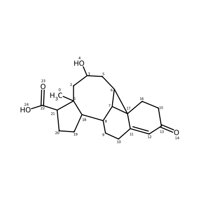 CC12CC(O)CC3C4C(CCC5=CC(=O)CCC534)C1CCC2C(=O)O